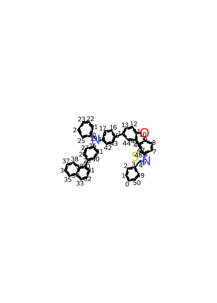 c1ccc(-c2nc3ccc4oc5ccc(-c6ccc(N(c7ccccc7)c7ccc(-c8cccc9ccccc89)cc7)cc6)cc5c4c3s2)cc1